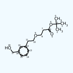 CC(C)(C)OC(=O)CCOCCc1cccc(CO)c1